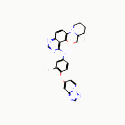 Cc1cc(Nc2ncnc3ccc4c(c23)OC[C@H]2CCCCN42)ccc1Oc1ccn2ncnc2c1